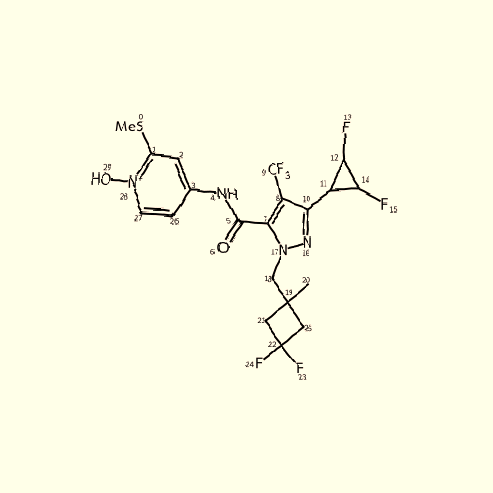 CSc1cc(NC(=O)c2c(C(F)(F)F)c(C3C(F)C3F)nn2CC2(C)CC(F)(F)C2)cc[n+]1O